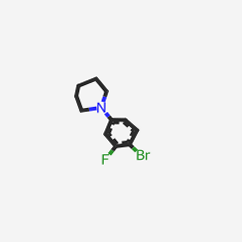 Fc1cc(N2CCCCC2)ccc1Br